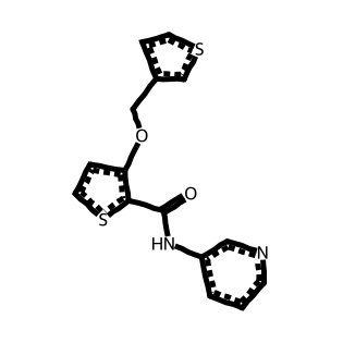 O=C(Nc1cccnc1)c1sccc1OCc1ccsc1